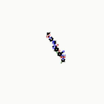 CC(C)(C)OC(=O)N1CCC(n2ccc(-n3cnc4ccc(Oc5c(F)ccc(NS(=O)(=O)N6CC[C@@H](F)C6)c5C#N)cc4c3=O)n2)CC1